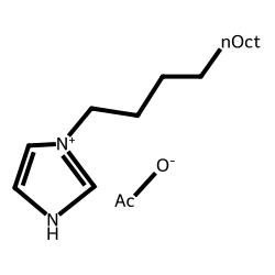 CC(=O)[O-].CCCCCCCCCCCC[n+]1cc[nH]c1